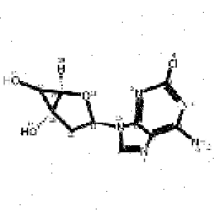 Nc1nc(Cl)nc2c1ncn2[C@H]1C[C@@]2(O)C(O)[C@H]2O1